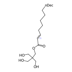 CCCCCCCCCCCCCCC/C=C/C(=O)OCC(CO)(CO)CO